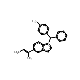 C/C(=C\C(=O)O)c1ccc2c(ccn2C(c2ccccc2)c2ccc(C)cc2)c1